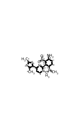 Cc1nc(C)c(-c2ccnc(-c3c(N(C)C)ccc(N)c3[N+](=O)[O-])n2)s1